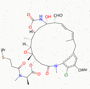 COc1cc2cc(c1Cl)N(C)C(=O)C[C@H](OC(=O)[C@@H](C)N(C)C(=O)CCSC(C)C)[C@]1(C)O[C@H]1[C@H](C)[C@@H]1C[C@@](O)(NC(=O)O1)[C@H](C=O)/C=C/C=C(\C)C2